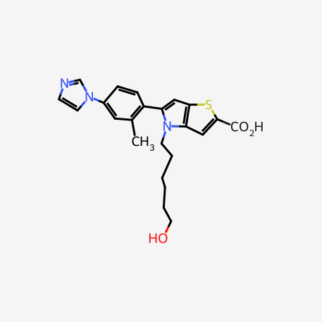 Cc1cc(-n2ccnc2)ccc1-c1cc2sc(C(=O)O)cc2n1CCCCCCO